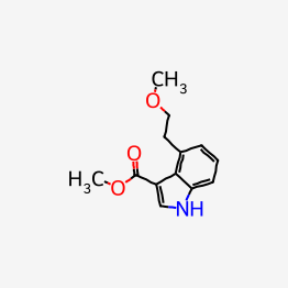 COCCc1cccc2[nH]cc(C(=O)OC)c12